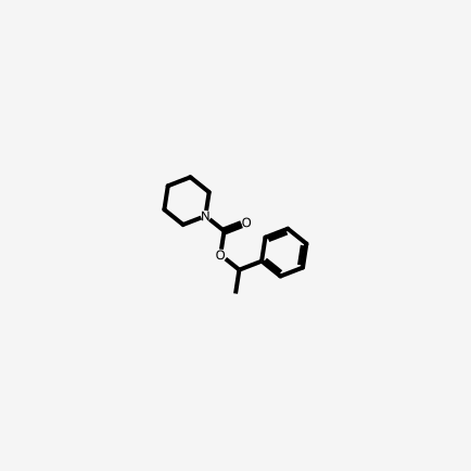 CC(OC(=O)N1CCCCC1)c1ccccc1